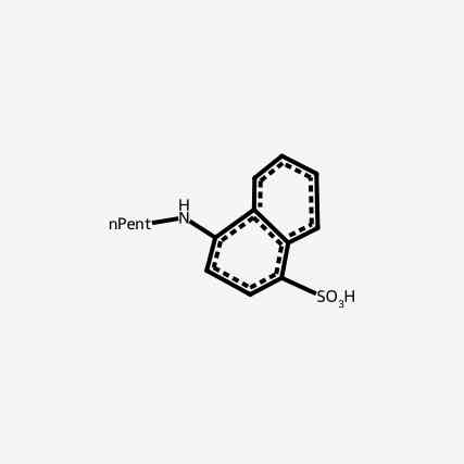 CCCCCNc1ccc(S(=O)(=O)O)c2ccccc12